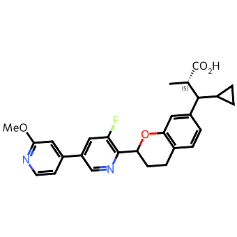 COc1cc(-c2cnc(C3CCc4ccc(C(C5CC5)[C@H](C)C(=O)O)cc4O3)c(F)c2)ccn1